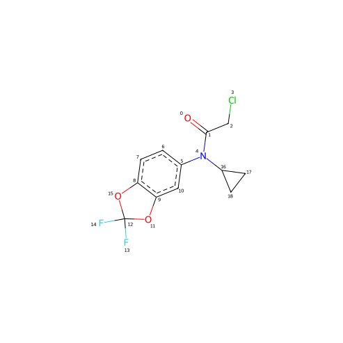 O=C(CCl)N(c1ccc2c(c1)OC(F)(F)O2)C1CC1